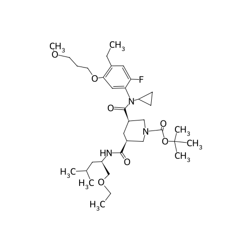 CCOC[C@@H](CC(C)C)NC(=O)[C@H]1C[C@@H](C(=O)N(c2cc(OCCCOC)c(CC)cc2F)C2CC2)CN(C(=O)OC(C)(C)C)C1